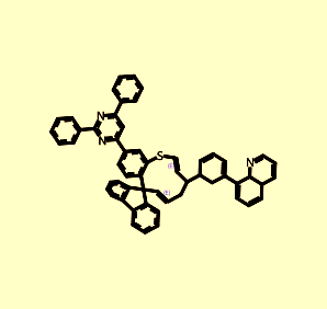 C1=CC2C=CC=C(C3=CC=CC(C4/C=C/Sc5cc(-c6cc(-c7ccccc7)nc(-c7ccccc7)n6)ccc5C5(/C=C/C4)c4ccccc4-c4ccccc45)C3)C2N=C1